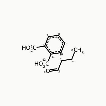 CCCC=O.O=C(O)c1ccccc1C(=O)O